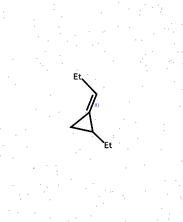 CC/C=C1\CC1CC